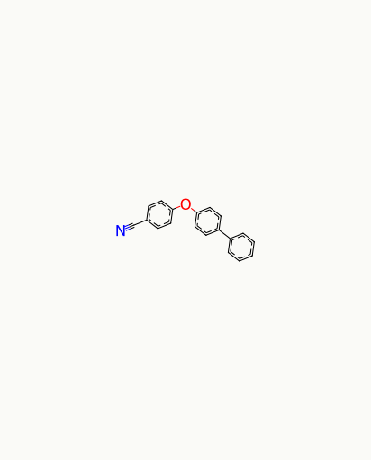 N#Cc1ccc(Oc2ccc(-c3ccccc3)cc2)cc1